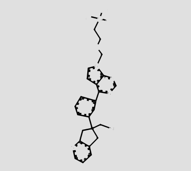 C[Si](C)(C)CCOCn1ccc2c(-c3cccc(C4(CN)Cc5cccnc5C4)c3)ncnc21